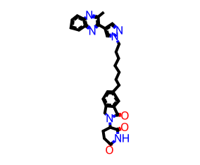 Cc1nc2ccccc2nc1-c1cnn(CCCCCCCc2ccc3c(c2)C(=O)N(C2CCC(=O)NC2=O)C3)c1